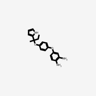 CCC(C)(Oc1ccc(Oc2ccc(N)c(N)c2)cc1)c1ccc[nH]1